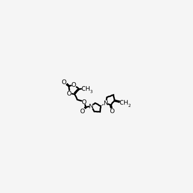 C=C1CCN([C@@H]2CCN(C(=O)OCc3oc(=O)oc3C)C2)C1=O